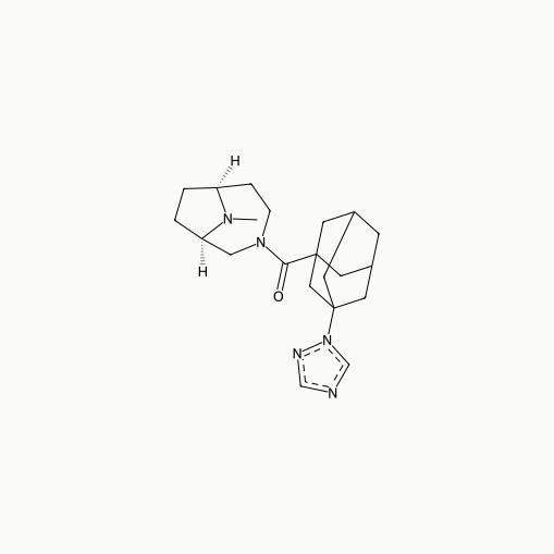 CN1[C@H]2CC[C@@H]1CN(C(=O)C13CC4CC(C1)CC(n1cncn1)(C4)C3)CC2